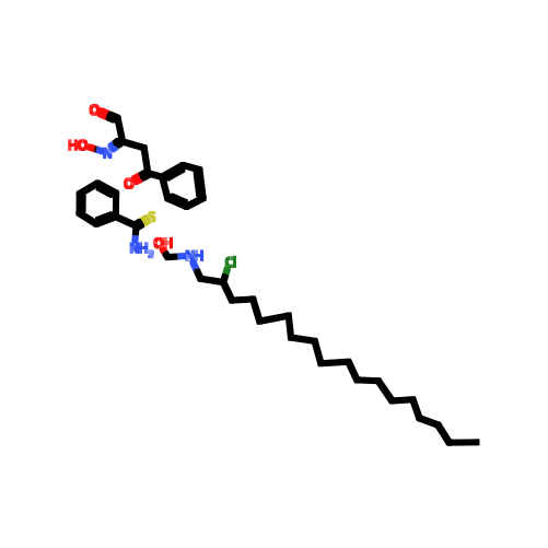 CCCCCCCCCCCCCCCCC(Cl)CNCO.NC(=S)c1ccccc1.O=CC(CC(=O)c1ccccc1)=NO